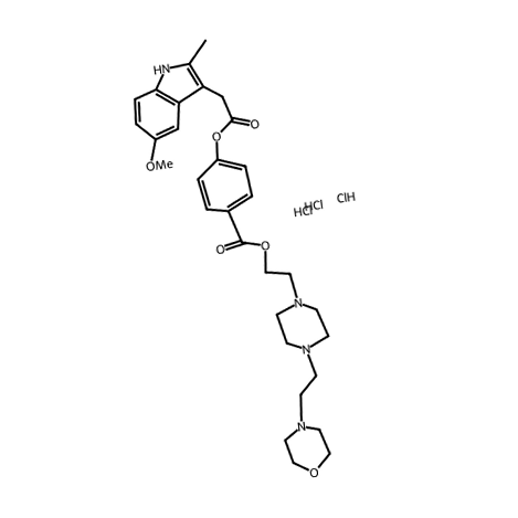 COc1ccc2[nH]c(C)c(CC(=O)Oc3ccc(C(=O)OCCN4CCN(CCN5CCOCC5)CC4)cc3)c2c1.Cl.Cl.Cl